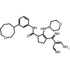 N=C/C(=C\N)C(=N)C1=C(NN2CCOCC2)N(C(=O)Nc2cccc(C3CCCCOCC3)c2)CC1